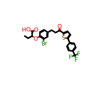 CCC(Oc1ccc(CCC(=O)c2ccc(-c3ccc(C(F)(F)F)cc3)s2)cc1Br)C(=O)O